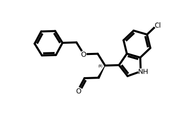 O=CC[C@@H](COCc1ccccc1)c1c[nH]c2cc(Cl)ccc12